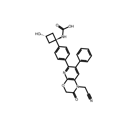 N#CCN1C(=O)COc2nc(-c3ccc([C@]4(NC(=O)O)C[C@H](O)C4)cc3)c(-c3ccccc3)cc21